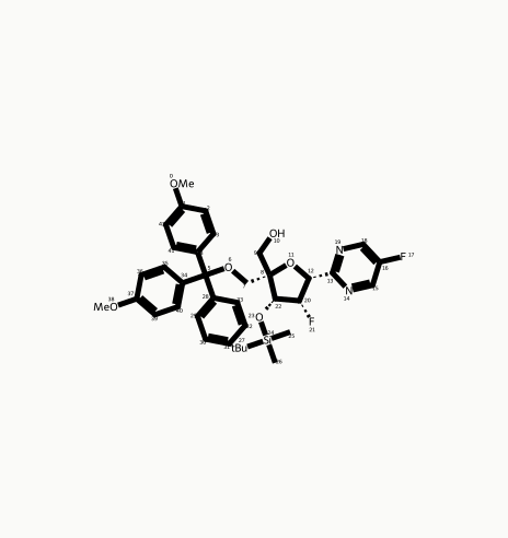 COc1ccc(C(OC[C@]2(CO)O[C@H](c3ncc(F)cn3)[C@H](F)[C@@H]2O[Si](C)(C)C(C)(C)C)(c2ccccc2)c2ccc(OC)cc2)cc1